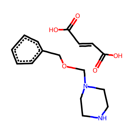 O=C(O)C=CC(=O)O.c1ccc(COCN2CCNCC2)cc1